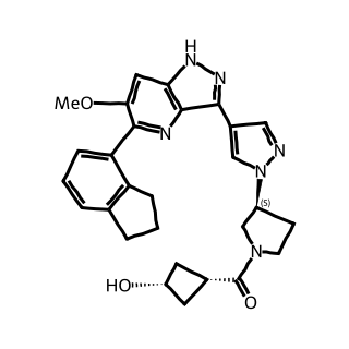 COc1cc2[nH]nc(-c3cnn([C@H]4CCN(C(=O)[C@H]5C[C@@H](O)C5)C4)c3)c2nc1-c1cccc2c1CCC2